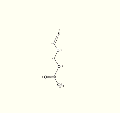 CC(=O)OCOC=S